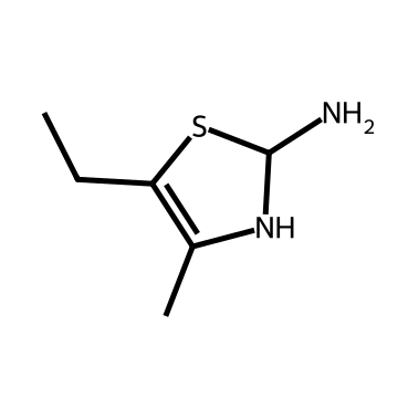 CCC1=C(C)NC(N)S1